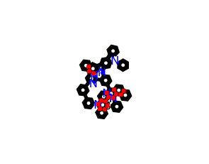 c1ccc(-c2cc(-c3ccc(-n4c5ccccc5c5cc6c7ccccc7n(-c7ccccc7)c6cc54)c(-c4nc(-c5ccccc5)cc(-c5cccc(-c6cccc(N7c8ccccc8B8c9ccccc9N(c9ccccc9)c9cccc7c98)c6)c5)n4)c3)nc(-c3ccccc3)n2)cc1